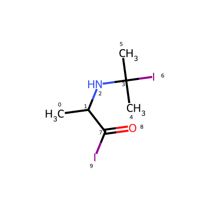 CC(NC(C)(C)I)C(=O)I